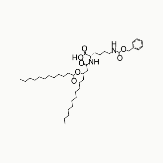 CCCCCCCCCCCC(=O)O[C@H](CCCCCCCCCCC)CC(=O)N[C@@H](CCCCNC(=O)OCc1ccccc1)C(=O)O